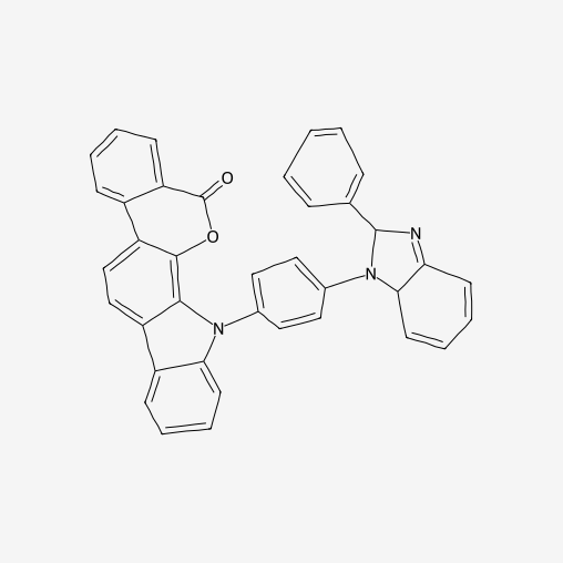 O=c1oc2c(ccc3c4ccccc4n(-c4ccc(N5C6C=CC=CC6=NC5c5ccccc5)cc4)c32)c2ccccc12